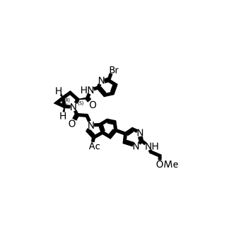 COCCNc1ncc(-c2ccc3c(c2)c(C(C)=O)cn3CC(=O)N2[C@@H]3C[C@@H]3C[C@H]2C(=O)Nc2cccc(Br)n2)cn1